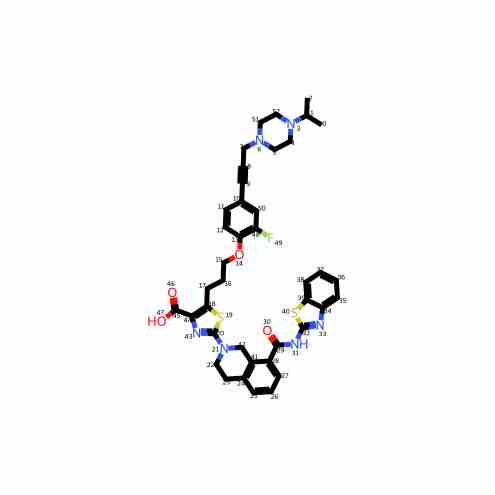 CC(C)N1CCN(CC#Cc2ccc(OCCCc3sc(N4CCc5cccc(C(=O)Nc6nc7ccccc7s6)c5C4)nc3C(=O)O)c(F)c2)CC1